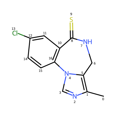 Cc1ncn2c1CNC(=S)c1cc(Cl)ccc1-2